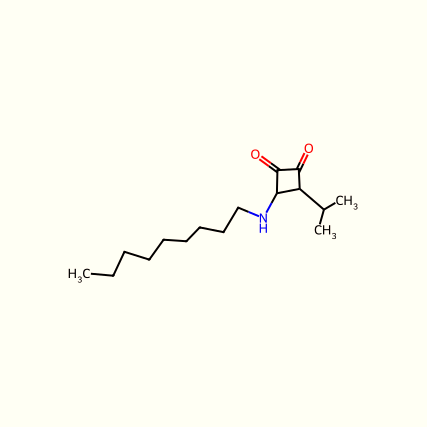 CCCCCCCCCNC1C(=O)C(=O)C1C(C)C